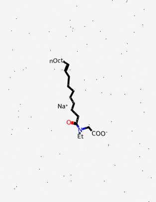 CCCCCCCCC=CCCCCCCCC(=O)N(CC)CC(=O)[O-].[Na+]